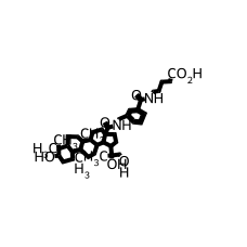 CC(O)(CO)C1CCC2(C(=O)NCc3cccc(C(=O)NCCCCC(=O)O)c3)CCC3C(CCC4C3(C)CCC3C(C)(C)C(O)CCC34C)C12